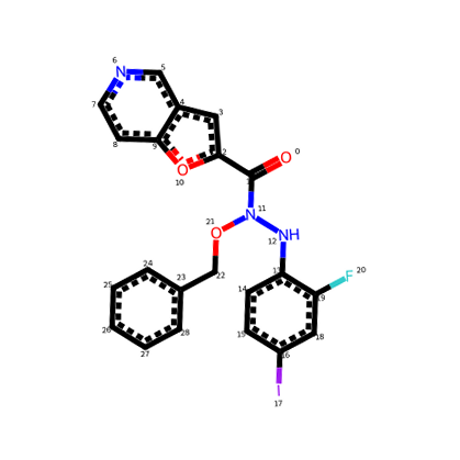 O=C(c1cc2cnccc2o1)N(Nc1ccc(I)cc1F)OCc1ccccc1